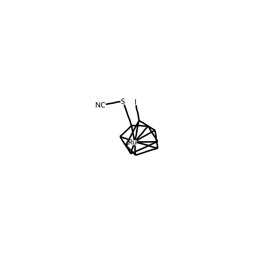 N#CS[C]12[CH]3[CH]4[CH]5[CH]1[Ru]45321678[CH]2[CH]1[CH]6[C]7(I)[CH]28